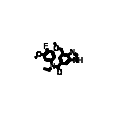 CCN(C(=O)c1cc(COC)c2nc[nH]c2c1)c1ccc(F)c(OC)c1